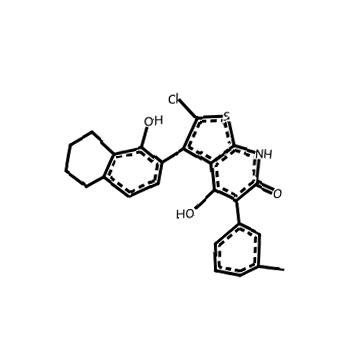 Cc1cccc(-c2c(O)c3c(-c4ccc5c(c4O)CCCC5)c(Cl)sc3[nH]c2=O)c1